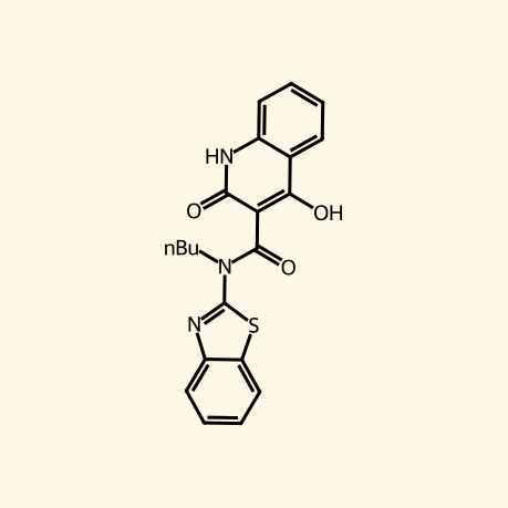 CCCCN(C(=O)c1c(O)c2ccccc2[nH]c1=O)c1nc2ccccc2s1